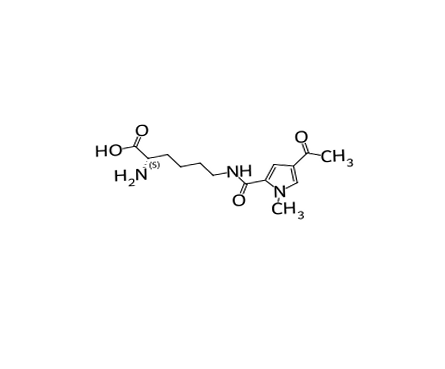 CC(=O)c1cc(C(=O)NCCCC[C@H](N)C(=O)O)n(C)c1